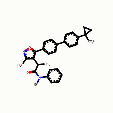 CCN(C(=O)C(C)c1c(C)noc1-c1ccc(-c2ccc(C3(C(=O)O)CC3)cc2)cc1)c1ccccc1